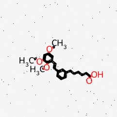 CCOc1cc(C=Cc2cccc(CCCCCC(=O)O)c2)c(OC)c(OCC)c1